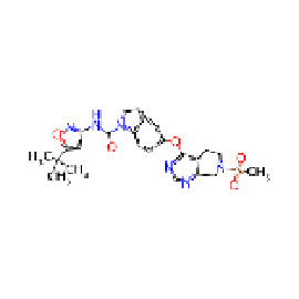 CC(C)(C)c1cc(NC(=O)n2ccc3cc(Oc4ncnc5c4CCN(S(C)(=O)=O)C5)ccc32)no1